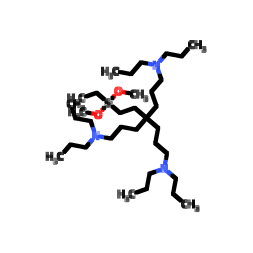 CCCN(CCC)CCCC(CCCN(CCC)CCC)(CCCN(CCC)CCC)CC[Si](CC)(OC)OC